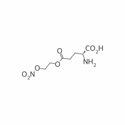 N[C@@H](CCC(=O)OCCO[N+](=O)[O-])C(=O)O